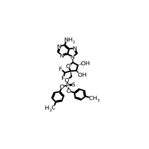 Cc1ccc(OP(=S)(OC[C@@]2(C(F)F)O[C@@H](n3cnc4c(N)ncnc43)[C@H](O)[C@H]2O)Oc2ccc(C)cc2)cc1